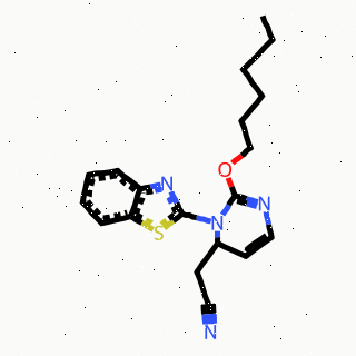 CCCCCCOC1=NC=CC(CC#N)N1c1nc2ccccc2s1